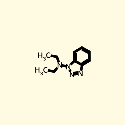 CCN(CC)n1nnc2ccccc21